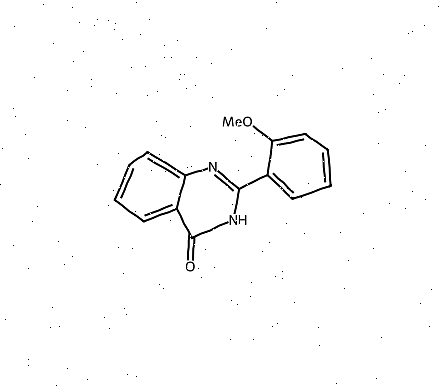 COc1ccccc1-c1nc2ccccc2c(=O)[nH]1